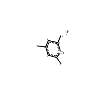 Cc1[c-]c(C)cc(C)c1.[Li+]